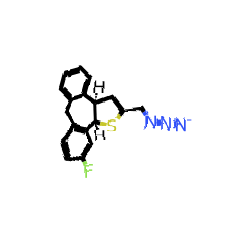 [N-]=[N+]=NC[C@@H]1C[C@@H]2c3ccccc3Cc3ccc(F)cc3[C@H]2S1